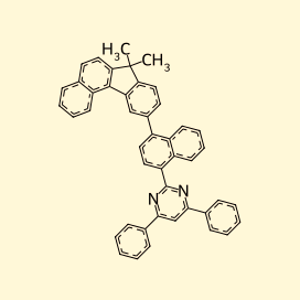 CC1(C)c2ccc(-c3ccc(-c4nc(-c5ccccc5)cc(-c5ccccc5)n4)c4ccccc34)cc2-c2c1ccc1ccccc21